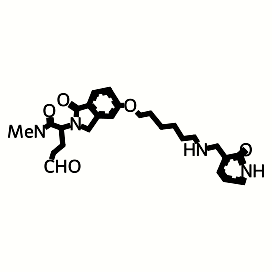 CNC(=O)C(CCC=O)N1Cc2cc(OCCCCCCNCc3ccc[nH]c3=O)ccc2C1=O